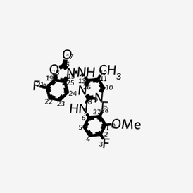 COc1c(F)ccc(Nc2ncc(C)c(Nn3c(=O)oc4c(F)cccc43)n2)c1F